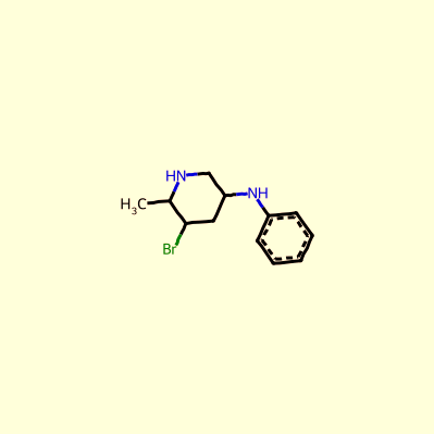 CC1NCC(Nc2ccccc2)CC1Br